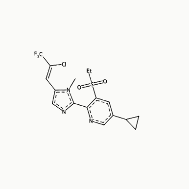 CCS(=O)(=O)c1cc(C2CC2)cnc1-c1ncc(C=C(Cl)C(F)(F)F)n1C